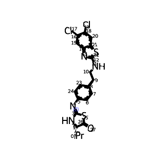 CC(C)[C@@H]1N/C(=N/c2ccc(CCNc3nc4cc(Cl)c(Cl)cc4s3)cc2)SC1=O